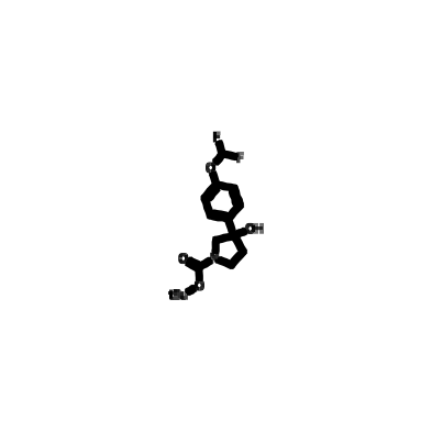 CC(C)(C)OC(=O)N1CCC(O)(c2ccc(OC(F)F)cc2)C1